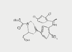 C[C@@H](Nc1cc(N2CCN(C(=O)OC(C)(C)C)C(CO)C2)ccc1[N+](=O)[O-])c1ccc(Cl)cc1Cl